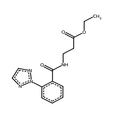 CCOC(=O)CCNC(=O)c1ccccc1-n1nccn1